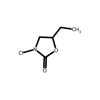 CCC1CN(Cl)C(=O)O1